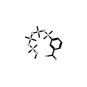 CO[Si](C)(C)O[Si](C)(C)O[Si](C)(C)O[Si](C)(C)c1cccc(C(F)F)c1